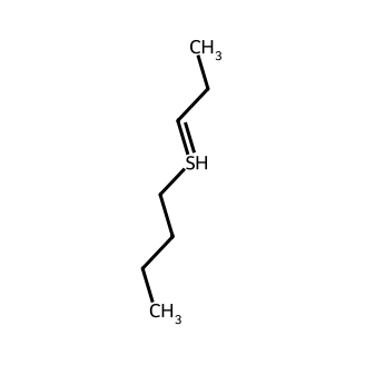 CCC=[SH]CCCC